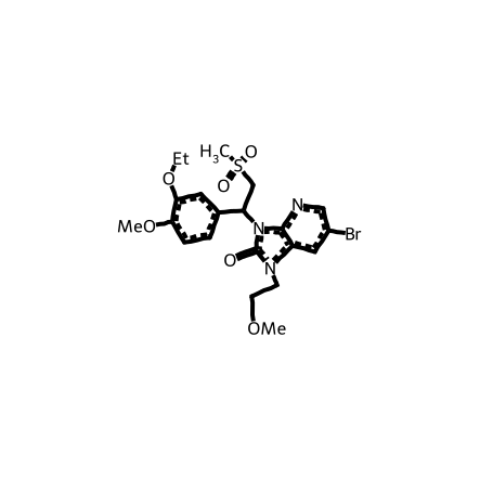 CCOc1cc(C(CS(C)(=O)=O)n2c(=O)n(CCOC)c3cc(Br)cnc32)ccc1OC